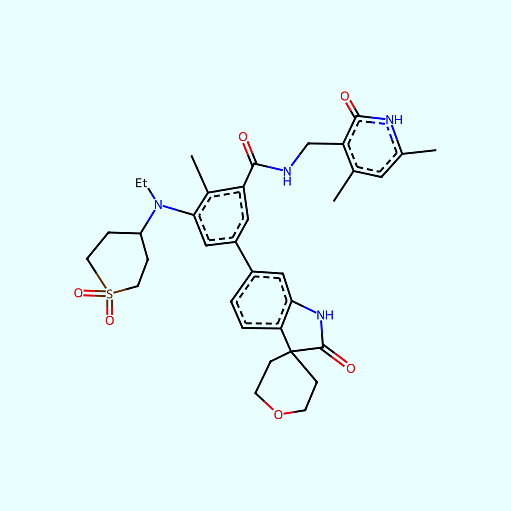 CCN(c1cc(-c2ccc3c(c2)NC(=O)C32CCOCC2)cc(C(=O)NCc2c(C)cc(C)[nH]c2=O)c1C)C1CCS(=O)(=O)CC1